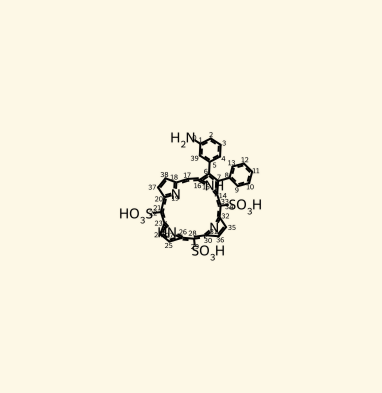 Nc1cccc(-c2c(-c3ccccc3)c3[nH]c2cc2nc(c(S(=O)(=O)O)c4ccc([nH]4)c(S(=O)(=O)O)c4nc(c3S(=O)(=O)O)C=C4)C=C2)c1